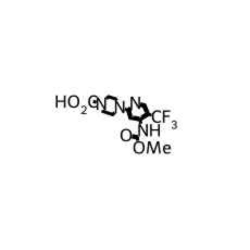 COC(=O)Nc1cc(N2CCN(C(=O)O)CC2)ncc1C(F)(F)F